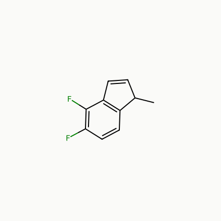 CC1C=Cc2c1ccc(F)c2F